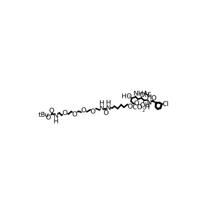 CC(=O)N[C@H]1[C@H]([C@H](O)[C@H](O)CNC(=O)c2cccc(Cl)c2)O[C@@](OCCCCCCNC(=O)NCCOCCOCCOCCOCCNC(=O)OC(C)(C)C)(C(=O)O)C[C@@H]1O